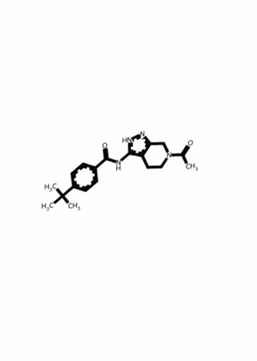 CC(=O)N1CCc2c(n[nH]c2NC(=O)c2ccc(C(C)(C)C)cc2)C1